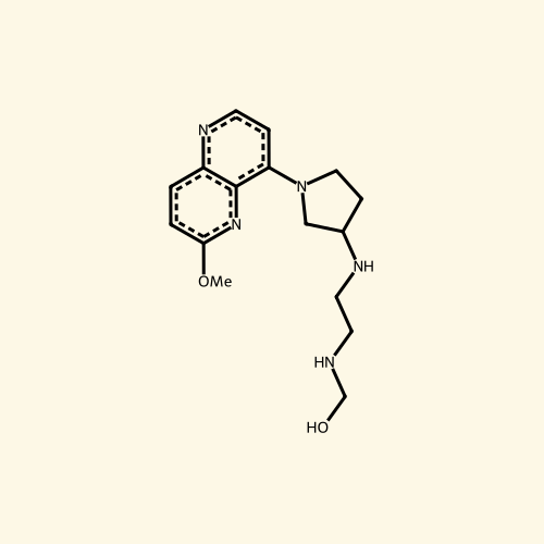 COc1ccc2nccc(N3CCC(NCCNCO)C3)c2n1